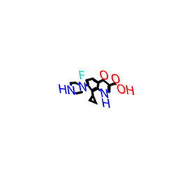 O=C(O)c1c[nH]c2c(C3CC3)c(N3CCNCC3)c(F)cc2c1=O